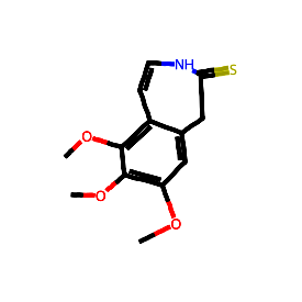 COc1cc2c(c(OC)c1OC)C=CNC(=S)C2